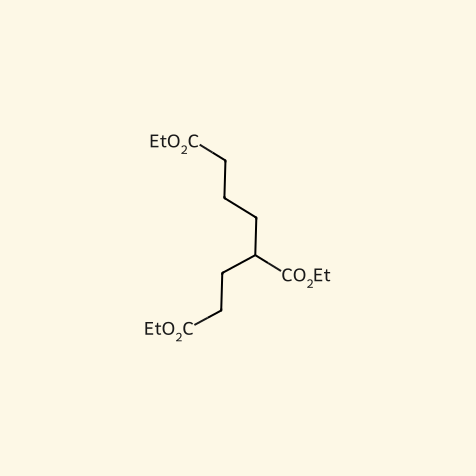 CCOC(=O)CCCC(CCC(=O)OCC)C(=O)OCC